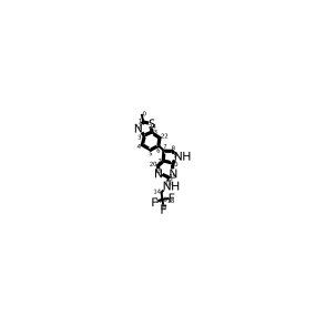 Cc1nc2ccc(-c3c[nH]c4nc(NCC(F)(F)F)ncc34)cc2s1